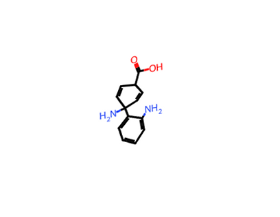 Nc1ccccc1C1(N)C=CC(C(=O)O)C=C1